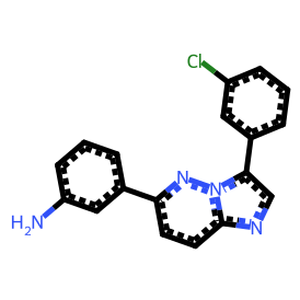 Nc1cccc(-c2ccc3ncc(-c4cccc(Cl)c4)n3n2)c1